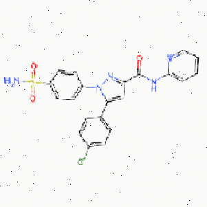 NS(=O)(=O)c1ccc(-n2nc(C(=O)Nc3ccccn3)cc2-c2ccc(Cl)cc2)cc1